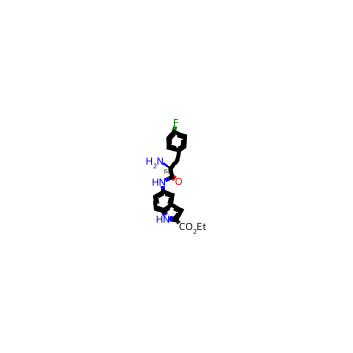 CCOC(=O)c1cc2cc(NC(=O)[C@@H](N)Cc3ccc(F)cc3)ccc2[nH]1